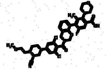 COCCN1CCN(c2cc(Cl)c(C(=O)N3COc4c(cccc4-c4c(F)cc(C(=O)O)c(N5CCOCC5)c4C)C3)c(Cl)c2)CC1C#N